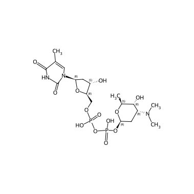 Cc1cn([C@H]2C[C@H](O)[C@@H](COP(=O)(O)OP(=O)(O)O[C@@H]3C[C@@H](N(C)C)[C@@H](O)[C@H](C)O3)O2)c(=O)[nH]c1=O